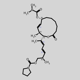 C/C(=C\C=C\[C@@H](C)COC(=O)N1CCCC1)[C@H]1OC(=O)CCCCC[C@@H](OC(=O)N(C)C)/C=C/[C@@H]1C